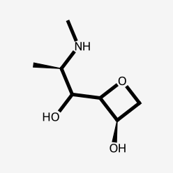 CN[C@H](C)C(O)C1OC[C@H]1O